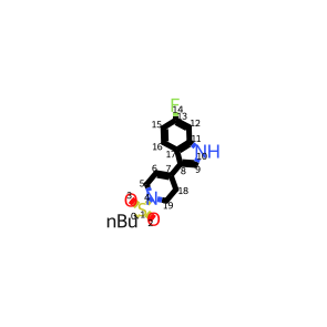 CCCCS(=O)(=O)N1CC=C(c2c[nH]c3cc(F)ccc23)CC1